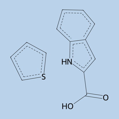 O=C(O)c1cc2ccccc2[nH]1.c1ccsc1